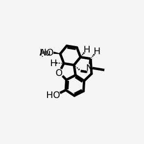 CN1CC[C@]23c4c5ccc(O)c4O[C@H]2[C@@H](O)C=C[C@H]3[C@H]1C5.[Au]